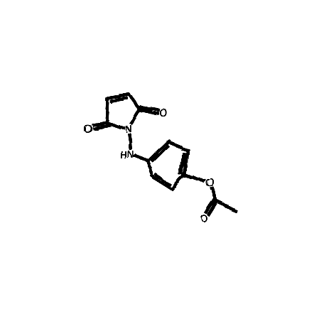 CC(=O)Oc1ccc(NN2C(=O)C=CC2=O)cc1